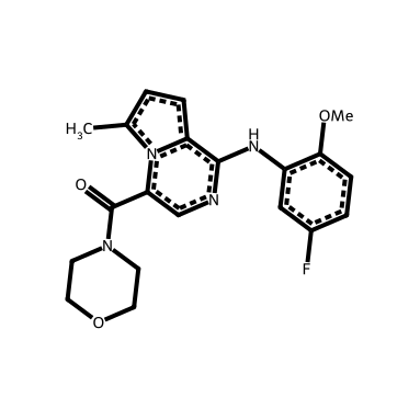 COc1ccc(F)cc1Nc1ncc(C(=O)N2CCOCC2)n2c(C)ccc12